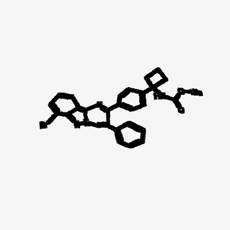 CC(C)(C)OC(=O)NC1(c2ccc(-c3nc4c5cccc(Br)c5nn4cc3-c3ccccc3)cc2)CCC1